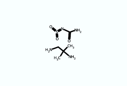 CC(C)(N)CN.NC(=O)N=S(=O)=O